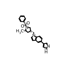 C[C@H]1C[C@@H](Cn2ccc3cc(-c4cn[nH]c4)ccc32)CN1S(=O)(=O)c1ccccc1